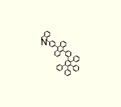 c1ccc(-c2cc(-c3cccc(-c4c5ccccc5c(-c5ccc(-c6nccc7ccccc67)cc5)c5ccccc45)c3)c(-c3ccccc3)c(-c3ccccc3)c2-c2ccccc2)cc1